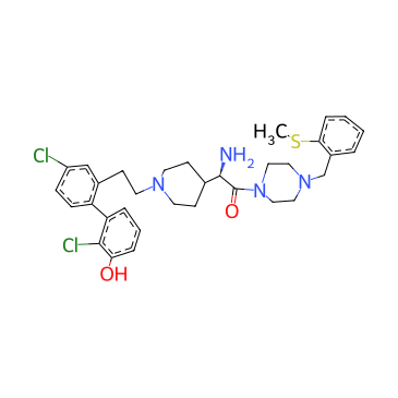 CSc1ccccc1CN1CCN(C(=O)[C@H](N)C2CCN(CCc3cc(Cl)ccc3-c3cccc(O)c3Cl)CC2)CC1